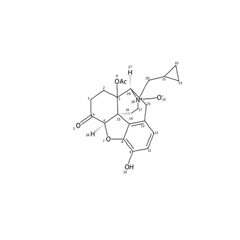 CC(=O)OC12CCC(=O)[C@@H]3Oc4c(O)ccc5c4[C@@]31CC[N+]([O-])(CC1CC1)[C@@H]2C5